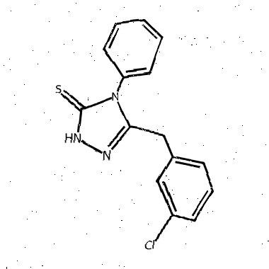 S=c1[nH]nc(Cc2cccc(Cl)c2)n1-c1ccccc1